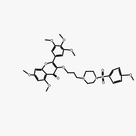 COc1ccc(S(=O)(=O)N2CCN(CCCOc3c(-c4cc(OC)c(OC)c(OC)c4)oc4cc(OC)cc(OC)c4c3=O)CC2)cc1